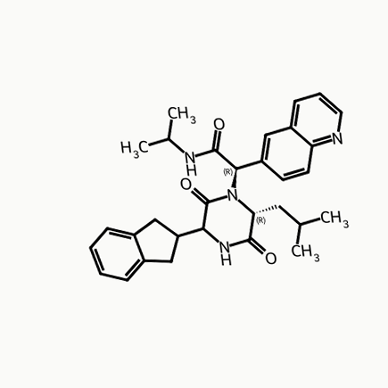 CC(C)C[C@@H]1C(=O)NC(C2Cc3ccccc3C2)C(=O)N1[C@@H](C(=O)NC(C)C)c1ccc2ncccc2c1